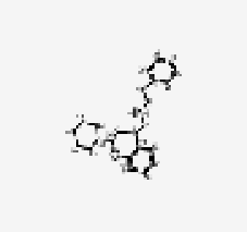 c1ccc(CCNCC2CC(C3CCCCC3)Oc3ccccc32)cc1